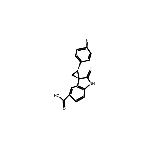 O=C(O)c1ccc2c(c1)[C@@]1(C[C@H]1c1ccc(F)cc1)C(=O)N2